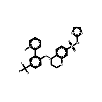 O=S(=O)(Nc1nccs1)c1ccc2c(c1)OCC[C@H]2Oc1ccc(C(F)(F)F)cc1-c1cccc[n+]1[O-]